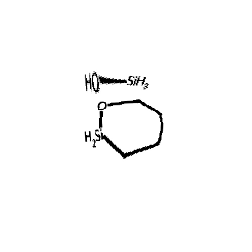 C1CC[SiH2]OC1.O[SiH3]